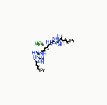 CC(C)CCCC(C)NC(=N)NC(=N)NCCCCCCNC(=N)NC(=N)NC(C)CCCC(C)C.Cl.Cl